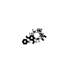 CCc1cc2c(c(CC)c1Sc1ccccc1)NC(=S)OP(=O)(N(CC)CC)OP(=O)(O)OC(=S)N2